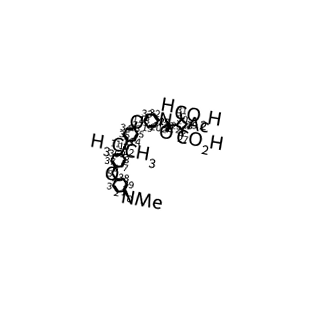 CNc1ccc(Oc2ccc(C(C)(C)c3ccc(Oc4ccc(NC(=O)C5C(C(=O)O)C(C(C)=O)C5C(=O)O)cc4)cc3)cc2)cc1